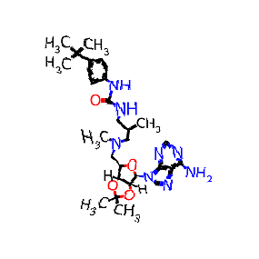 CC(CNC(=O)Nc1ccc(C(C)(C)C)cc1)CN(C)C[C@H]1O[C@@H](n2cnc3c(N)ncnc32)[C@@H]2OC(C)(C)O[C@@H]21